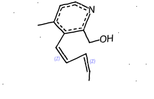 C/C=C\C=C/c1c(C)ccnc1CO